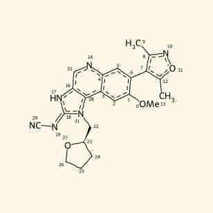 COc1cc2c(cc1-c1c(C)noc1C)ncc1[nH]c(=NC#N)n(C[C@H]3CCCO3)c12